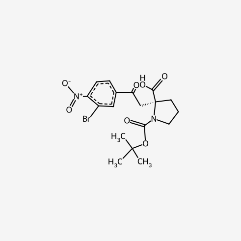 CC(C)(C)OC(=O)N1CCC[C@]1(CC(=O)c1ccc([N+](=O)[O-])c(Br)c1)C(=O)O